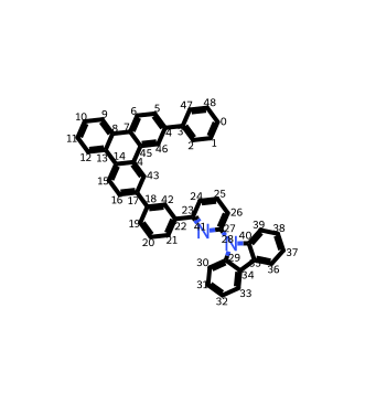 c1ccc(-c2ccc3c4ccccc4c4ccc(-c5cccc(-c6cccc(-n7c8ccccc8c8ccccc87)n6)c5)cc4c3c2)cc1